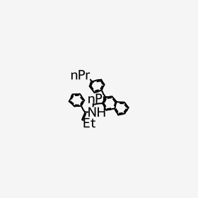 CC/C=C(\NC(CCC)c1cc2ccccc2cc1-c1ccc(CCC)cc1)c1ccccc1